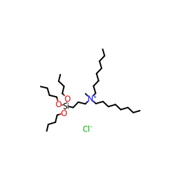 CCCCCCCC[N+](C)(CCCCCCCC)CCC[Si](OCCCC)(OCCCC)OCCCC.[Cl-]